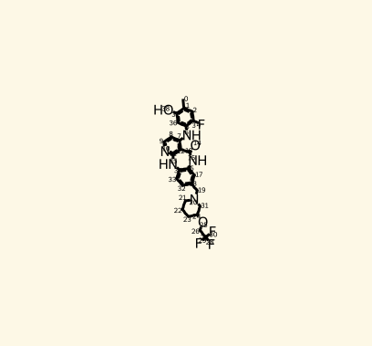 Cc1cc(F)c(Nc2ccnc3c2C(=O)Nc2cc(CN4CCCC(OCC(F)(F)F)C4)ccc2N3)cc1O